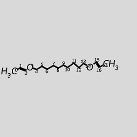 CC=COCCCCCCCCCCOC=CC